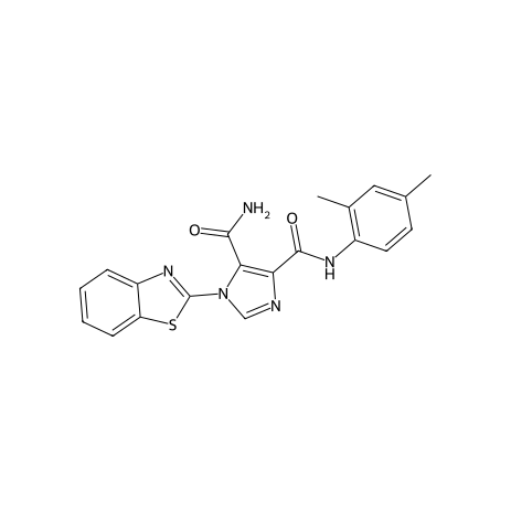 Cc1ccc(NC(=O)c2ncn(-c3nc4ccccc4s3)c2C(N)=O)c(C)c1